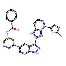 O=C(Nc1cncc(-c2cnc3[nH]nc(-c4nc5c(-c6ccc(F)s6)nccc5[nH]4)c3c2)c1)c1ccccc1